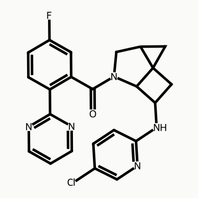 O=C(c1cc(F)ccc1-c1ncccn1)N1CC2CC23CC(Nc2ccc(Cl)cn2)C13